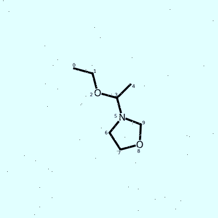 CCOC(C)N1CCOC1